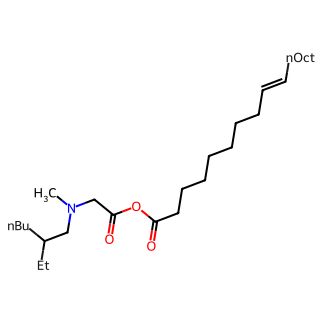 CCCCCCCCC=CCCCCCCCC(=O)OC(=O)CN(C)CC(CC)CCCC